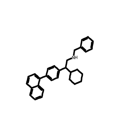 c1ccc(CNCC(c2ccc(-c3cccc4ccccc34)cc2)C2CCCCC2)cc1